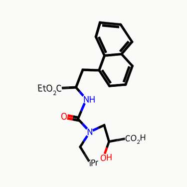 CCOC(=O)C(Cc1cccc2ccccc12)NC(=O)N(CC(C)C)CC(O)C(=O)O